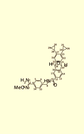 CON=C(N)c1ccc(CNC(=O)c2ccc3c(c2)[C@@H]2O[C@H]3c3cc(C4CC4)c(C4CC4)cc32)cc1